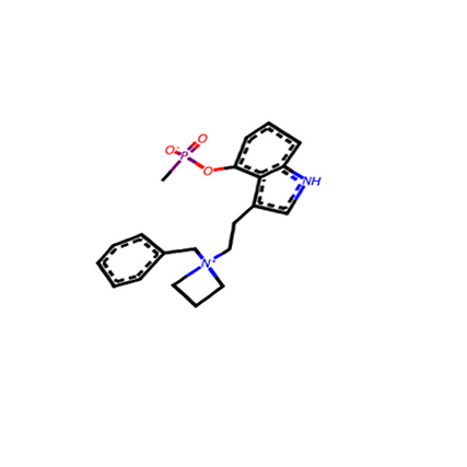 CP(=O)([O-])Oc1cccc2[nH]cc(CC[N+]3(Cc4ccccc4)CCC3)c12